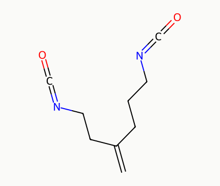 C=C(CCCN=C=O)CCN=C=O